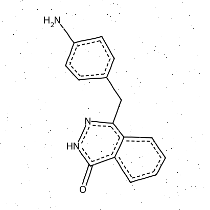 Nc1ccc(Cc2n[nH]c(=O)c3ccccc23)cc1